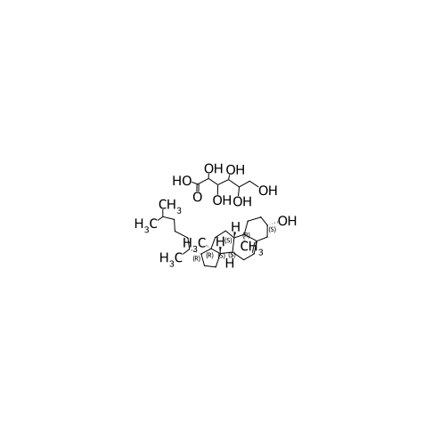 CC(C)CCCC(C)[C@H]1CC[C@H]2[C@@H]3CC=C4C[C@@H](O)CC[C@]4(C)[C@H]3CC[C@]12C.O=C(O)C(O)C(O)C(O)C(O)CO